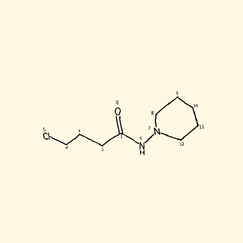 O=C(CCCCl)NN1CCCCC1